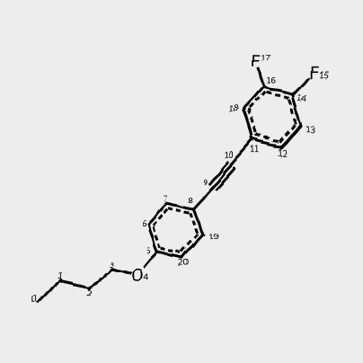 CCCCOc1ccc(C#Cc2ccc(F)c(F)c2)cc1